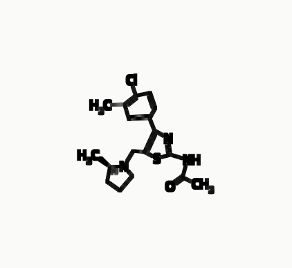 CC(=O)Nc1nc(-c2ccc(Cl)c(C)c2)c(CN2CCC[C@H]2C)s1